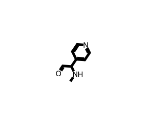 CNC(C=O)c1ccncc1